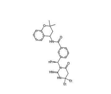 CCC[C@@H](c1cccc(C(=O)NC2CC(C)(C)Oc3ccccc32)c1)N1C(=N)NC(CC)(CC)CC1=O